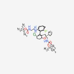 CC(C)(C)OC(=O)NCCNc1cccc(F)c1-c1c(Cl)ccc2c1CC(CNC(=O)OC(C)(C)C)(c1ccccc1)O2